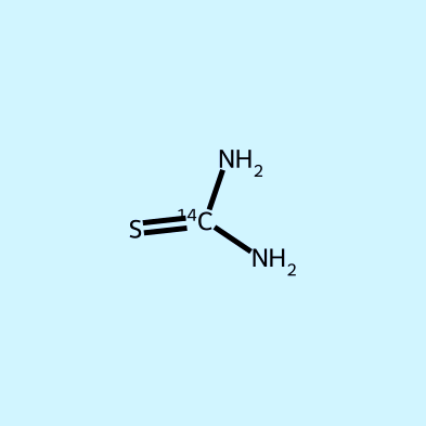 N[14C](N)=S